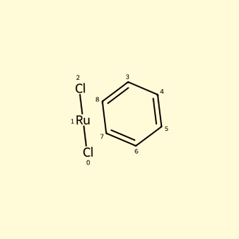 [Cl][Ru][Cl].c1ccccc1